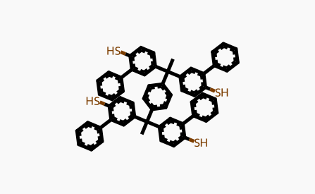 CC(c1ccc(C(C)(c2ccc(S)c(-c3ccccc3)c2)c2ccc(S)c(-c3ccccc3)c2)cc1)(c1ccc(S)c(-c2ccccc2)c1)c1ccc(S)c(-c2ccccc2)c1